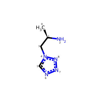 C[C@@H](N)Cn1cnnn1